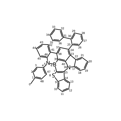 Cc1ccc(N2B3c4sc5ccccc5c4-n4c5ccccc5c5c(-c6ccccc6-c6ccccc6)cc(c3c54)-c3ccccc32)cc1